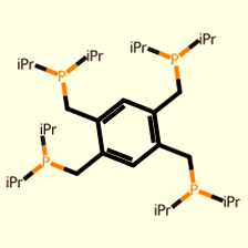 CC(C)P(Cc1cc(CP(C(C)C)C(C)C)c(CP(C(C)C)C(C)C)cc1CP(C(C)C)C(C)C)C(C)C